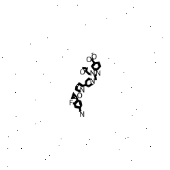 COC(=O)c1ccc2nc(CN3CCC(c4cccc(OC5(c6ccc(C#N)cc6F)CC5)n4)CC3)n(CC3CCO3)c2c1